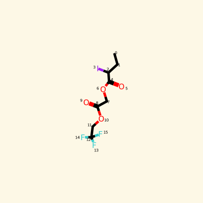 CCC(I)C(=O)OCC(=O)OCC(F)(F)F